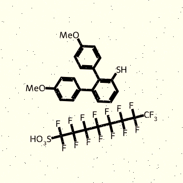 COc1ccc(-c2cccc(S)c2-c2ccc(OC)cc2)cc1.O=S(=O)(O)C(F)(F)C(F)(F)C(F)(F)C(F)(F)C(F)(F)C(F)(F)C(F)(F)C(F)(F)F